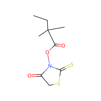 CCC(C)(C)C(=O)ON1C(=O)CSC1=S